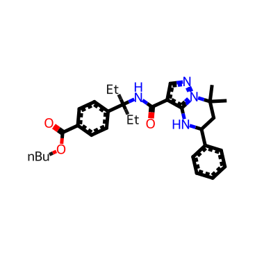 CCCCOC(=O)c1ccc(C(CC)(CC)NC(=O)c2cnn3c2NC(c2ccccc2)CC3(C)C)cc1